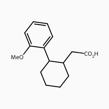 COc1ccccc1C1CCCCC1CC(=O)O